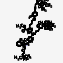 COC(=O)c1nc(N(CCCC(CO[Si](C)(C)C(C)(C)C)OC)c2cc(C)c(/N=c3\sc4ccccc4n3COCC[Si](C)(C)C)nn2)sc1CCCOc1ccc(C#CCN(C)C(=O)OC(C)(C)C)cc1F